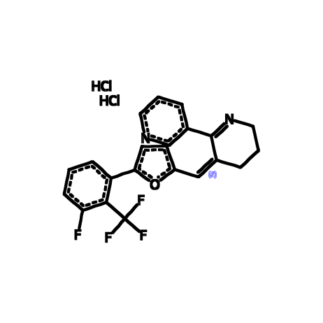 Cl.Cl.Fc1cccc(-c2ccc(/C=C3/CCCN=C3c3cccnc3)o2)c1C(F)(F)F